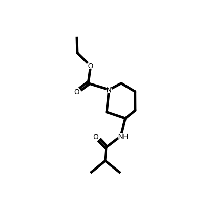 CCOC(=O)N1CCCC(NC(=O)C(C)C)C1